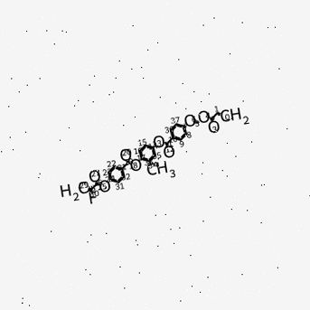 C=CC(=O)OCOc1ccc(C(=O)Oc2ccc(OC(=O)c3ccc(OC(=O)C(=C)F)cc3)c(C)c2)cc1